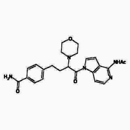 CC(=O)Nc1nccc2c1ccn2C(=O)C(CCc1ccc(C(N)=O)cc1)N1CCOCC1